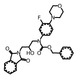 O=C1c2ccccc2C(=O)N1CC(O)CN(C(=O)OCc1ccccc1)c1ccc(N2CCOCC2)c(F)c1